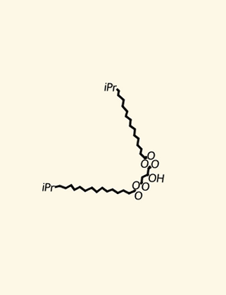 CC(C)CCCCCCCCCCCCCCC(=O)OC(=O)CC(O)C(=O)OC(=O)CCCCCCCCCCCCCCC(C)C